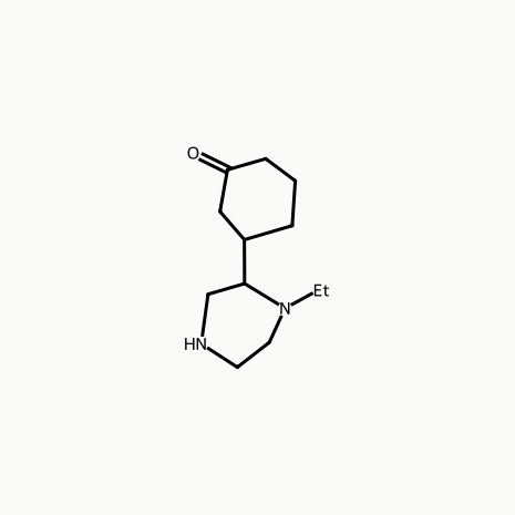 CCN1CCNCC1C1CCCC(=O)C1